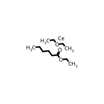 CCCCCC(=O)OCC.CCOCC.[Ce]